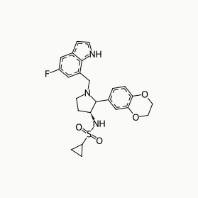 O=S(=O)(N[C@H]1CCN(Cc2cc(F)cc3cc[nH]c23)C1c1ccc2c(c1)OCCO2)C1CC1